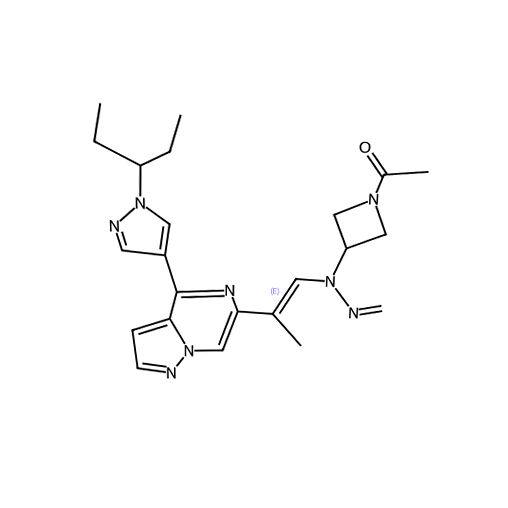 C=NN(/C=C(\C)c1cn2nccc2c(-c2cnn(C(CC)CC)c2)n1)C1CN(C(C)=O)C1